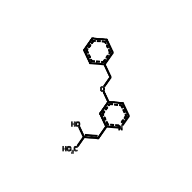 O=C(O)C(O)=Cc1cc(OCc2ccccc2)ccn1